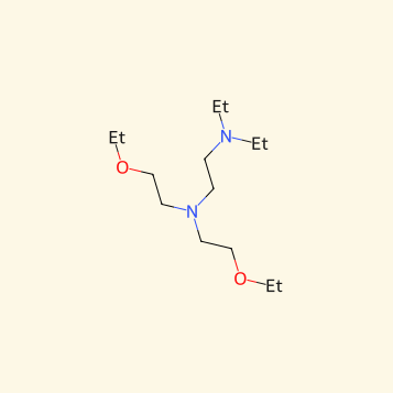 CCOCCN(CCOCC)CCN(CC)CC